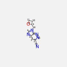 N#Cc1cc2ncn(CC3CCO3)c2nn1